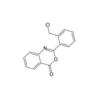 O=c1oc(-c2ccccc2CCl)nc2ccccc12